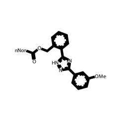 CCCCCCCCCC(=O)OCc1ccccc1-c1nc(-c2cccc(OC)c2)n[nH]1